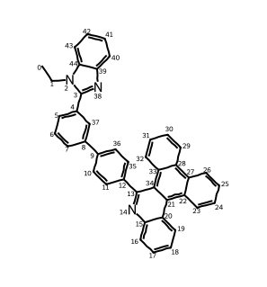 CCn1c(-c2cccc(-c3ccc(-c4nc5ccccc5c5c6ccccc6c6ccccc6c45)cc3)c2)nc2ccccc21